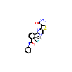 CC1(CF)C(C(=O)Nc2ccccc2)=CC=CC1c1ncc2scc(C(N)=O)c2n1